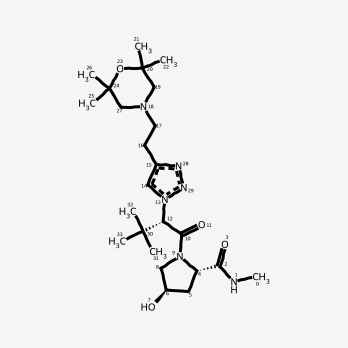 CNC(=O)[C@@H]1C[C@@H](O)CN1C(=O)[C@@H](n1cc(CCN2CC(C)(C)OC(C)(C)C2)nn1)C(C)(C)C